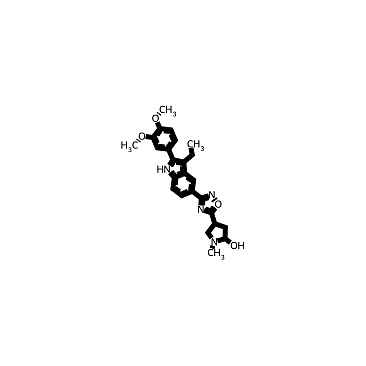 CCc1c(-c2ccc(OC)c(OC)c2)[nH]c2ccc(-c3noc(C4CC(O)N(C)C4)n3)cc12